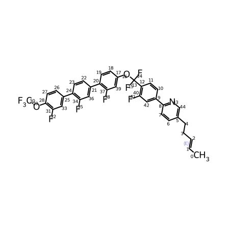 C/C=C/CCc1ccc(-c2ccc(C(F)(F)Oc3ccc(-c4ccc(-c5ccc(OC(F)(F)F)c(F)c5)c(F)c4)c(F)c3)c(F)c2)nc1